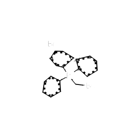 CCC(C)C[P+](c1ccccc1)(c1ccccc1)c1ccccc1.[Br-]